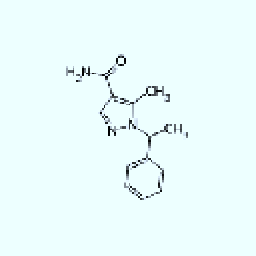 Cc1c(C(N)=O)cnn1C(C)c1ccccc1